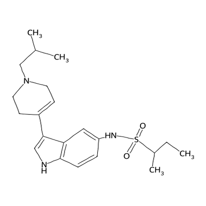 CCC(C)S(=O)(=O)Nc1ccc2[nH]cc(C3=CCN(CC(C)C)CC3)c2c1